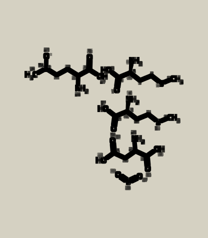 CSCC[C@H](N)C(=O)O.CSCC[C@H](N)C(=O)O.C[S+]([O-])CCC(N)C(=O)O.NC(CC(=O)O)C(=O)O.O=S=O